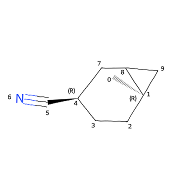 C[C@]12CC[C@@H](C#N)CC1C2